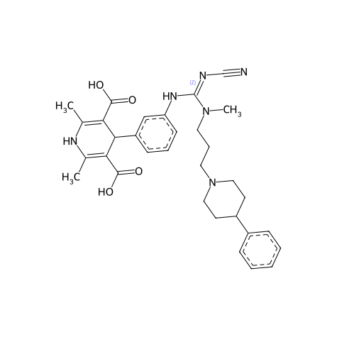 CC1=C(C(=O)O)C(c2cccc(N/C(=N/C#N)N(C)CCCN3CCC(c4ccccc4)CC3)c2)C(C(=O)O)=C(C)N1